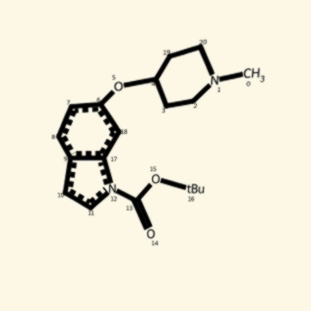 CN1CCC(Oc2ccc3ccn(C(=O)OC(C)(C)C)c3c2)CC1